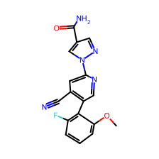 COc1cccc(F)c1-c1cnc(-n2cc(C(N)=O)cn2)cc1C#N